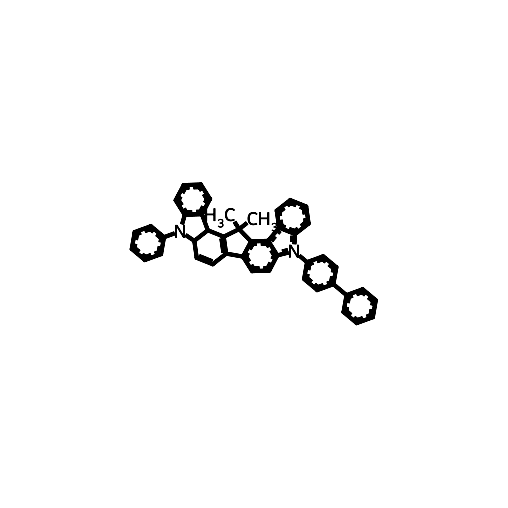 CC1(C)C2=C(C=CC3C2c2ccccc2N3c2ccccc2)c2ccc3c(c21)c1ccccc1n3-c1ccc(-c2ccccc2)cc1